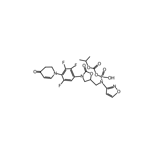 CC(C)OC(=O)OP(=O)(O)N(CC1CN(c2cc(F)c(N3C=CC(=O)CC3)c(F)c2F)C(=O)O1)c1ccon1